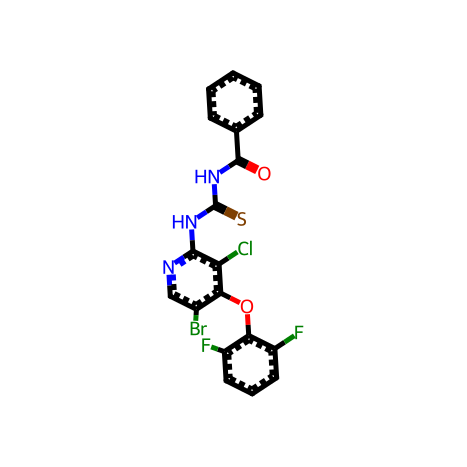 O=C(NC(=S)Nc1ncc(Br)c(Oc2c(F)cccc2F)c1Cl)c1ccccc1